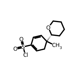 CC1([C@H]2CCCCO2)C=CC(S(=O)(=O)Cl)=CC1